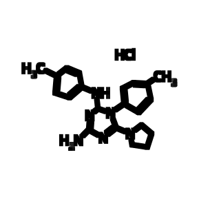 Cc1ccc(NC2N=C(N)N=C(N3CCCC3)N2c2ccc(C)cc2)cc1.Cl